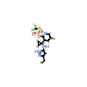 CCc1cc(NC2(c3cc(F)cnc3OS(=O)(=O)C(F)(F)F)CC2)[nH]n1